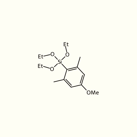 CCO[Si](OCC)(OCC)c1c(C)cc(OC)cc1C